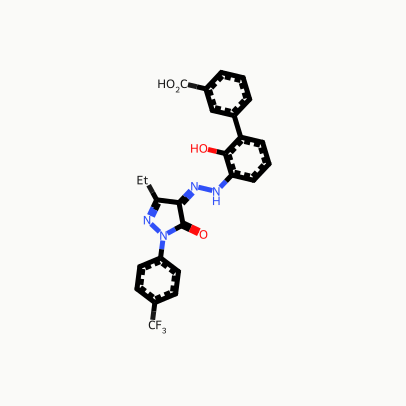 CCC1=NN(c2ccc(C(F)(F)F)cc2)C(=O)C1=NNc1cccc(-c2cccc(C(=O)O)c2)c1O